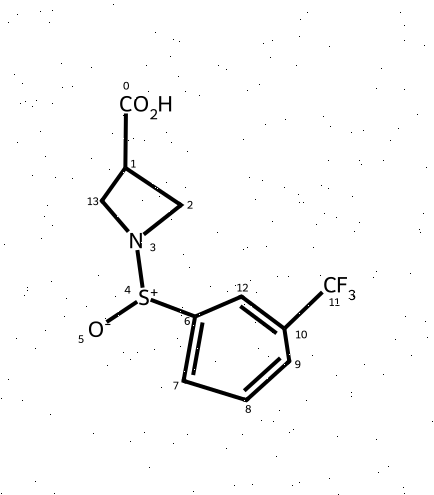 O=C(O)C1CN([S+]([O-])c2cccc(C(F)(F)F)c2)C1